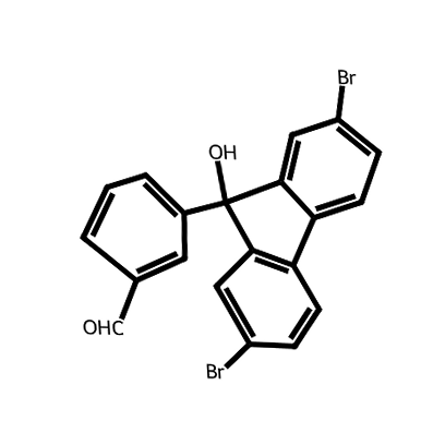 O=Cc1cccc(C2(O)c3cc(Br)ccc3-c3ccc(Br)cc32)c1